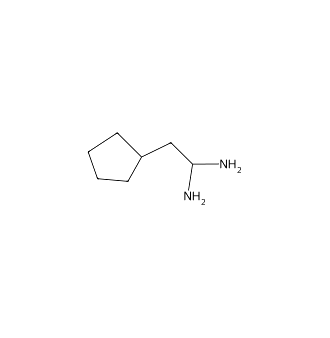 NC(N)CC1CCCC1